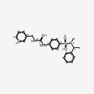 CC(c1ccccc1)N(C)S(=O)(=O)c1ccc(NC(=O)NCc2cccnc2)cc1